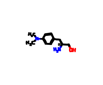 CN(C)c1ccc(C[C@H](N)CO)cc1